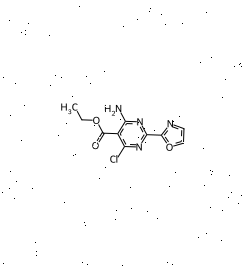 CCOC(=O)c1c(N)nc(-c2ncco2)nc1Cl